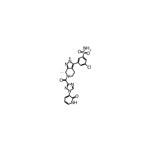 C[C@@H]1c2nn(C)c(-c3cc(Cl)cc(S(N)(=O)=O)c3)c2CCN1C(=O)c1ncn(-c2ccc[nH]c2=O)n1